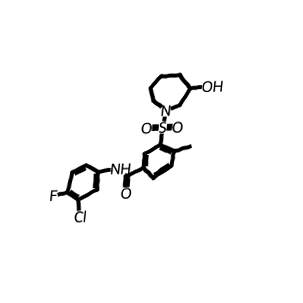 Cc1ccc(C(=O)Nc2ccc(F)c(Cl)c2)cc1S(=O)(=O)N1CCCCC(O)C1